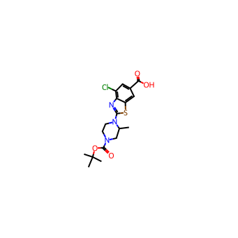 CC1CN(C(=O)OC(C)(C)C)CCN1c1nc2c(Cl)cc(C(=O)O)cc2s1